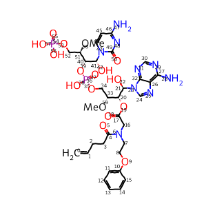 C=CCCC(=O)N(CCOc1ccccc1)CC(=O)O[C@@H]([C@@H](O)n1cnc2c(N)ncnc21)[C@@H](COP(=O)(O)O[C@@H]([C@@H](O)n1ccc(N)nc1=O)[C@@H](COP(=O)(O)O)OC)OC